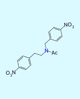 CC(=O)N(CCc1ccc([N+](=O)[O-])cc1)Cc1ccc([N+](=O)[O-])cc1